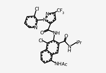 CC(=O)Nc1cccc2c(Cl)c(NC(=O)c3cc(C(F)(F)F)nn3-c3ncccc3Cl)c(C(=O)NC(C)C)cc12